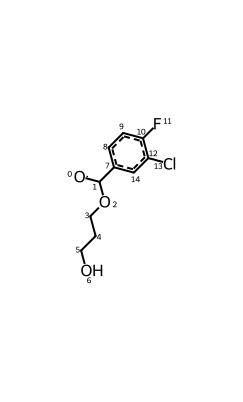 [O]C(OCCCO)c1ccc(F)c(Cl)c1